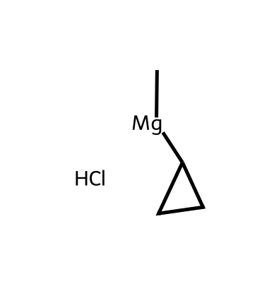 Cl.[CH3][Mg][CH]1CC1